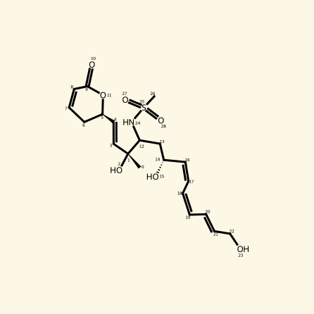 C[C@@](O)(/C=C/[C@H]1CC=CC(=O)O1)C(C[C@@H](O)\C=C/C=C\C=C\CO)NS(C)(=O)=O